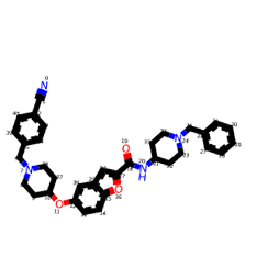 N#Cc1ccc(CN2CCC(Oc3ccc4oc(C(=O)NC5CCN(Cc6ccccc6)CC5)cc4c3)CC2)cc1